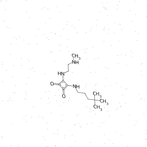 CNCCNc1c(NCCCC(C)(C)C)c(=O)c1=O